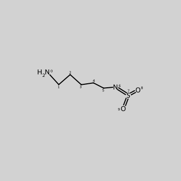 NCCCCCN=S(=O)=O